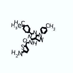 Cc1ccc(-n2ncc3c(NC(=O)c4ccc(N)s4)nc(C4=CCC(C)(C)CC4)nc32)cc1